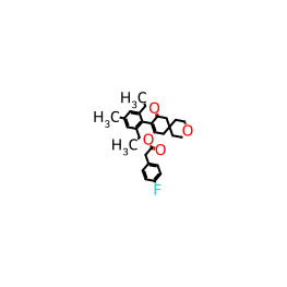 CCc1cc(C)cc(CC)c1C1=C(OC(=O)Cc2ccc(F)cc2)CC2(CCOCC2)CC1=O